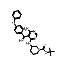 CC(C)(C)OC(=O)N1CCCC(Nc2ncnc(N)c2C(=N)c2ccc(Oc3ccccc3)cc2)C1